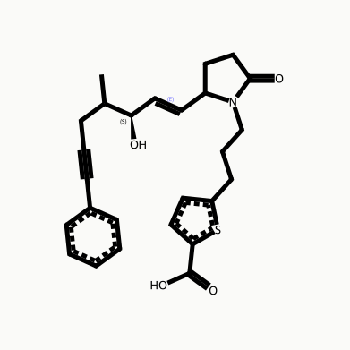 CC(CC#Cc1ccccc1)[C@H](O)/C=C/C1CCC(=O)N1CCCc1ccc(C(=O)O)s1